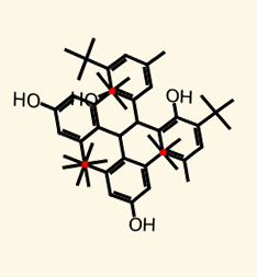 Cc1cc(C(c2cc(C)cc(C(C)(C)C)c2O)C(c2c(C(C)(C)C)cc(O)cc2C(C)(C)C)c2c(C(C)(C)C)cc(O)cc2C(C)(C)C)c(O)c(C(C)(C)C)c1